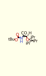 CC(C)[Si](OC[C@H](NC(=O)OC(C)(C)C)C(=O)O)(C(C)C)C(C)C